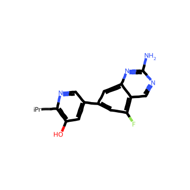 CC(C)c1ncc(-c2cc(F)c3cnc(N)nc3c2)cc1O